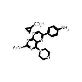 CC(=O)Nc1nc(N2CCOCC2)c2nc(-c3ccc(N)cc3)cnc2n1.O=C(O)C1CC1